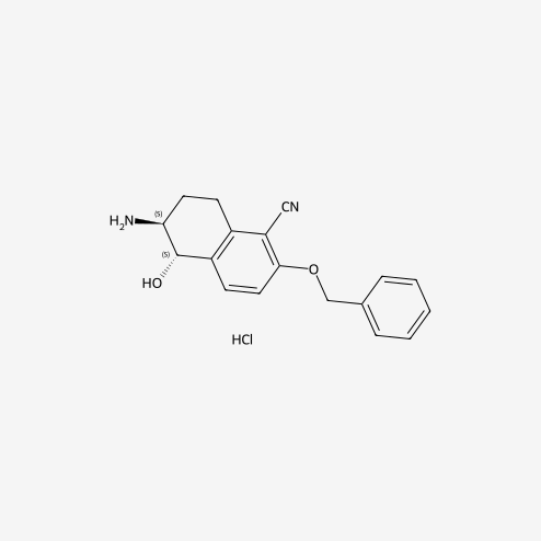 Cl.N#Cc1c(OCc2ccccc2)ccc2c1CC[C@H](N)[C@H]2O